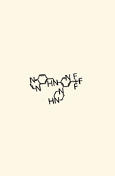 FC(F)(F)c1cc(N2CCNCC2)c(NCc2ccc3nccnc3c2)cn1